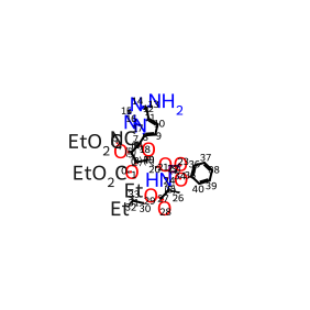 CCOC(=O)O[C@H]1[C@@H](OC(=O)OCC)[C@](C#N)(c2ccc3c(N)ncnn23)O[C@@H]1CO[P@@](=O)(N[C@@H](C)C(=O)OCC(CC)CC)Oc1ccccc1